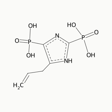 C=CCc1[nH]c(P(=O)(O)O)nc1P(=O)(O)O